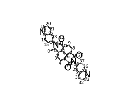 C=c1c2ccc3c4c(ccc(c(=O)n1-c1ccc5ncccc5c1)c42)C(=O)N(C1=Cc2cccnc2CC1)C3=O